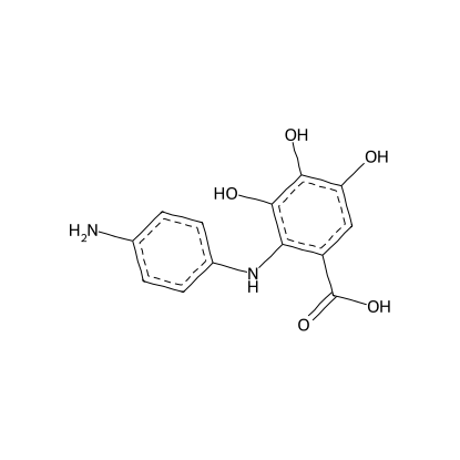 Nc1ccc(Nc2c(C(=O)O)cc(O)c(O)c2O)cc1